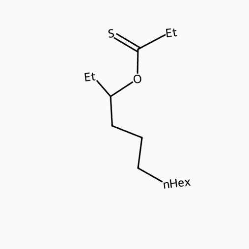 CCCCCCCCCC(CC)OC(=S)CC